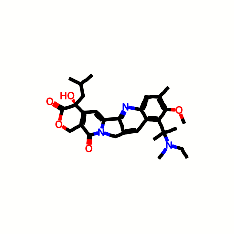 CCN(C)C(C)(C)c1c(OC)c(C)cc2nc3c(cc12)Cn1c-3cc2c(c1=O)COC(=O)[C@]2(O)CC(C)C